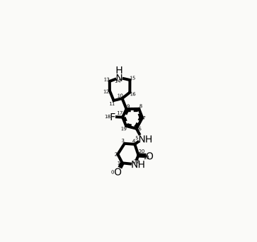 O=C1CCC(Nc2ccc(C3CCCNCC3)c(F)c2)C(=O)N1